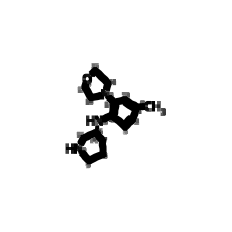 Cc1ccc(N[C@@H]2CCCNC2)c(N2CCOCC2)c1